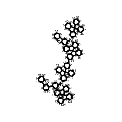 c1ccc(C2(c3ccc(-c4ccc5c(c4)-c4ccccc4C54c5ccccc5-c5c(N(c6ccc7c(c6)-c6ccccc6C7(c6ccccc6)c6ccccc6)c6ccc7sc8ccccc8c7c6)cccc54)cc3)c3ccccc3-c3cc(N(c4ccc(-c5cccc6c5oc5ccccc56)cc4)c4cccc5c4-c4ccccc4C54c5ccccc5-c5ccccc54)ccc32)cc1